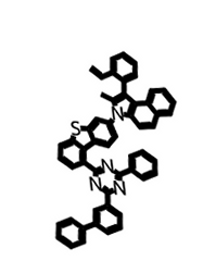 C=Cc1ccccc1-c1c(C)n(-c2ccc3c(c2)sc2cccc(-c4nc(-c5ccccc5)nc(-c5cccc(-c6ccccc6)c5)n4)c23)c2ccc3ccccc3c12